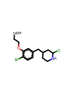 COCCOc1cc(CC2CCNC(Cl)C2)ccc1Br